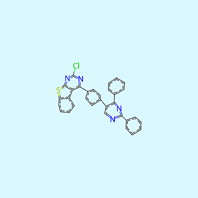 Clc1nc(-c2ccc(-c3cnc(-c4ccccc4)nc3-c3ccccc3)cc2)c2c(n1)sc1ccccc12